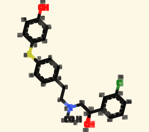 O=C(O)N(CCc1ccc(Sc2ccc(O)cc2)cc1)C[C@H](O)c1cccc(Cl)c1